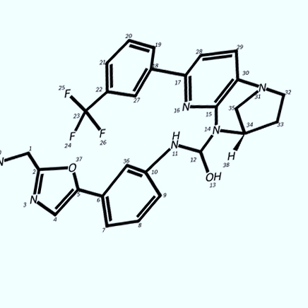 NCc1ncc(-c2cccc(NC(O)N3c4nc(-c5cccc(C(F)(F)F)c5)ccc4N4CC[C@H]3C4)c2)o1